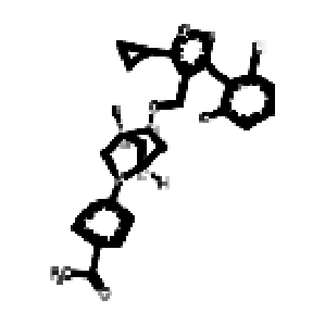 O=C(c1ccc(N2C[C@@H]3C[C@H]2C[C@H]3OCc2c(-c3c(Cl)cccc3Cl)noc2C2CC2)cc1)C(F)(F)F